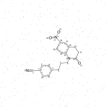 N#Cc1ccc(CCCN2C(=O)CCc3cc([N+](=O)[O-])ccc32)cc1